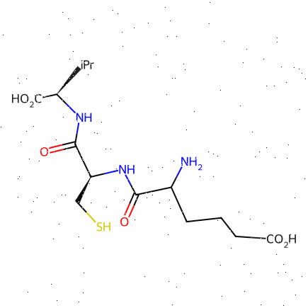 CC(C)[C@@H](NC(=O)[C@H](CS)NC(=O)C(N)CCCC(=O)O)C(=O)O